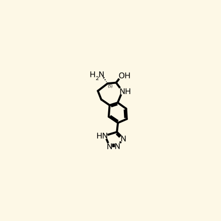 N[C@H]1CCc2cc(-c3nnn[nH]3)ccc2NC1O